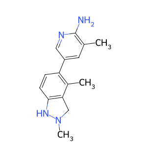 Cc1cc(-c2ccc3c(c2C)CN(C)N3)cnc1N